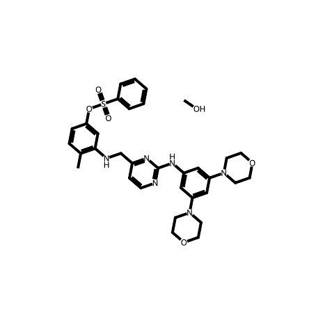 CO.Cc1ccc(OS(=O)(=O)c2ccccc2)cc1NCc1ccnc(Nc2cc(N3CCOCC3)cc(N3CCOCC3)c2)n1